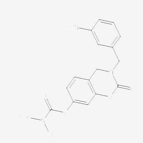 CN(C)C(=O)Oc1ccc2c(c1)OC(=O)N(Cc1cccc([N+](=O)[O-])c1)C2